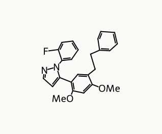 COc1cc(OC)c(-c2ccnn2-c2ccccc2F)cc1CCc1ccccc1